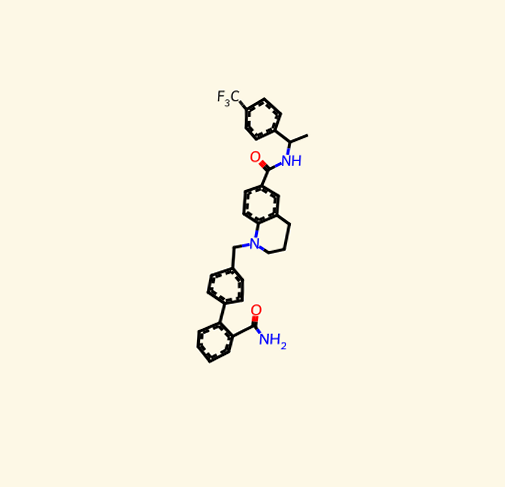 CC(NC(=O)c1ccc2c(c1)CCCN2Cc1ccc(-c2ccccc2C(N)=O)cc1)c1ccc(C(F)(F)F)cc1